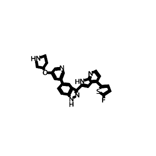 Fc1ccc(-c2ccnc3[nH]c(-c4n[nH]c5ccc(-c6cncc(OC7CCNCC7)c6)cc45)cc23)s1